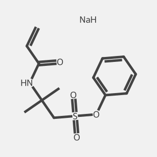 C=CC(=O)NC(C)(C)CS(=O)(=O)Oc1ccccc1.[NaH]